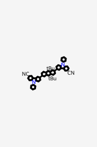 CC(C)(C)c1c2ccc(-c3ccc4c(c3)c3cc(C#N)ccc3n4-c3ccccc3)cc2c(C(C)(C)C)c2ccc(-c3ccc4c(c3)c3cc(C#N)ccc3n4-c3ccccc3)cc12